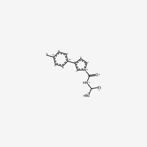 CCCCC(CC)NC(=O)n1ccc(-c2ccc(C)cc2)c1